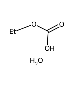 CCOC(=O)O.O